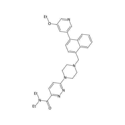 CCOc1cncc(-c2ccc(CN3CCN(c4ccc(C(=O)N(CC)CC)nn4)CC3)c3ccccc23)c1